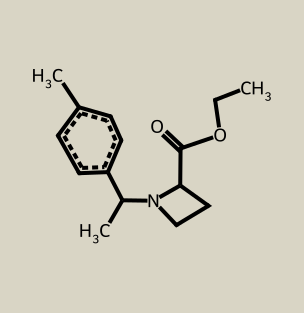 CCOC(=O)C1CCN1C(C)c1ccc(C)cc1